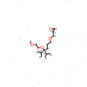 COCCO[Si](CCCOCC1CO1)(C(C)C)C(C)C